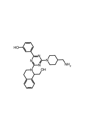 NCC1CCN(c2nc(-c3cccc(O)c3)nc(N3CCc4ccccc4C3CO)n2)CC1